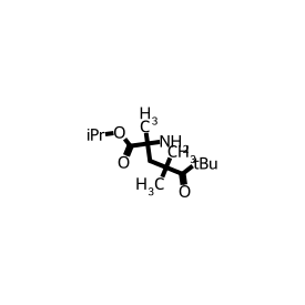 CC(C)OC(=O)C(C)(N)CC(C)(C)C(=O)C(C)(C)C